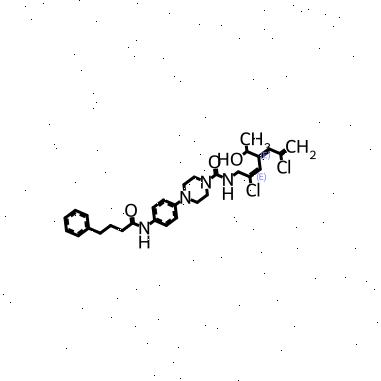 C=C(Cl)/C=C(\C=C(\Cl)CNC(=O)N1CCN(c2ccc(NC(=O)CCCc3ccccc3)cc2)CC1)C(C)O